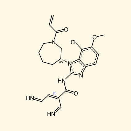 C=CC(=O)N1CCCC[C@@H](n2c(NC(=O)/C(C=N)=C/C=N)nc3ccc(OC)c(Cl)c32)C1